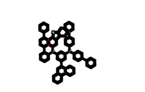 c1ccc(-c2ccc(-c3ccccc3N(c3cc(-c4cc5ccccc5c5ccccc45)cc(N(c4ccc(-c5ccccc5)cc4)c4ccc(-c5ccccc5)cc4)c3)c3ccc4oc5ccccc5c4c3)cc2)cc1